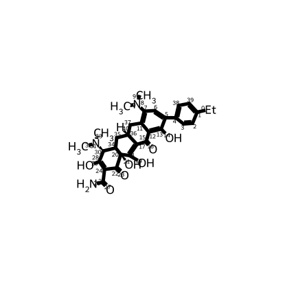 CCc1ccc(-c2cc(N(C)C)c3c(c2O)C(=O)C2=C(O)[C@]4(O)C(=O)C(C(N)=O)=C(O)[C@@H](N(C)C)C4C[C@@H]2C3)cc1